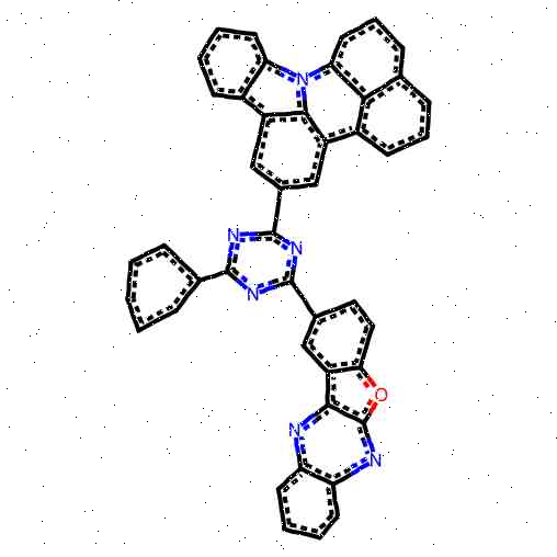 c1ccc(-c2nc(-c3ccc4oc5nc6ccccc6nc5c4c3)nc(-c3cc4c5cccc6cccc(c65)n5c6ccccc6c(c3)c45)n2)cc1